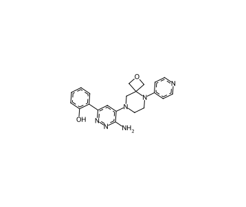 Nc1nnc(-c2ccccc2O)cc1N1CCN(c2ccncc2)C2(COC2)C1